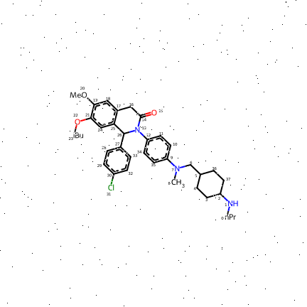 CCCNC1CCC(CN(C)c2ccc(N3C(=O)Cc4cc(OC)c(OC(C)CC)cc4C3c3ccc(Cl)cc3)cc2)CC1